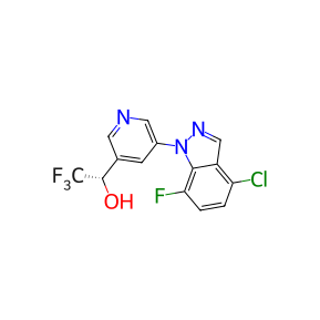 O[C@@H](c1cncc(-n2ncc3c(Cl)ccc(F)c32)c1)C(F)(F)F